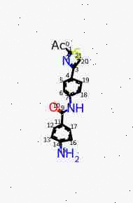 CC(=O)c1nc(-c2ccc(NC(=O)c3ccc(N)cc3)cc2)cs1